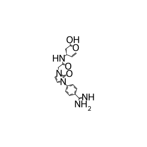 C=C[C@H](CC(=O)O)NC(=O)Cn1ccn(-c2ccc(C(=N)N)cc2)c1=O